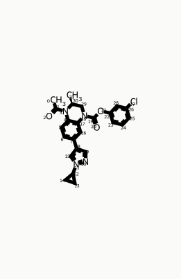 CC(=O)N1c2ccc(-c3cnn(C4CC4)c3)cc2N(C(=O)Oc2cccc(Cl)c2)C[C@@H]1C